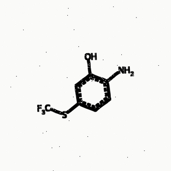 Nc1ccc(SC(F)(F)F)cc1O